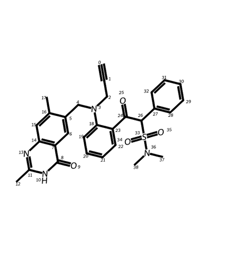 C#CCN(Cc1cc2c(=O)[nH]c(C)nc2cc1C)c1ccccc1C(=O)C(c1ccccc1)S(=O)(=O)N(C)C